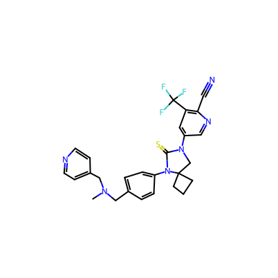 CN(Cc1ccncc1)Cc1ccc(N2C(=S)N(c3cnc(C#N)c(C(F)(F)F)c3)CC23CCC3)cc1